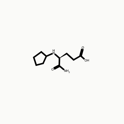 NC(=O)[C@H](CCC(=O)O)NC1CCCC1